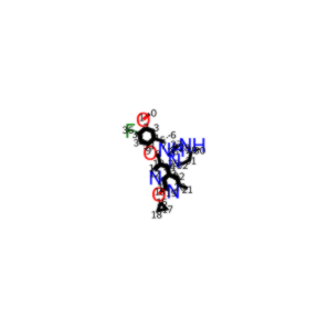 COc1cc([C@H](C)NC(=O)c2cnc3c(OC4CC4)nc(C)cc3c2N2CCN[C@@H](C)CC2)ccc1F